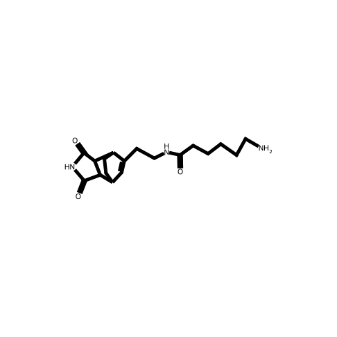 NCCCCCC(=O)NCCC1=CC2CCC1C1C(=O)NC(=O)C21